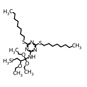 CCCCCCCCSc1nc(NC(OCC)(OCC)C(C[SiH3])OCC)nc(SCCCCCCCC)n1